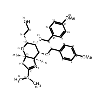 COc1ccc(CO[C@@H]2[C@H]3N=C(N(C)C)S[C@H]3O[C@H](CCO)[C@@H]2OCc2ccc(OC)cc2)cc1